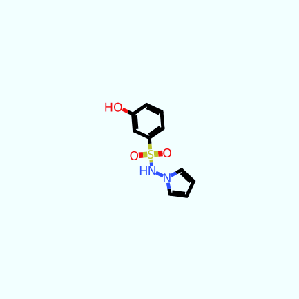 O=S(=O)(Nn1cccc1)c1cccc(O)c1